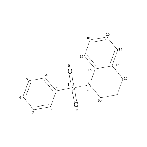 O=S(=O)(c1cc[c]cc1)N1CCCc2ccccc21